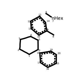 C1CCCCC1.CCCCCCC.Cc1ccccc1.c1ccccc1